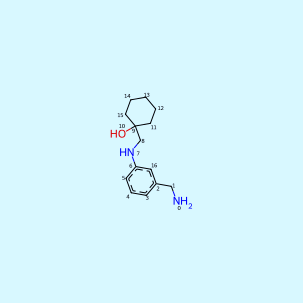 NCc1cccc(NCC2(O)CCCCC2)c1